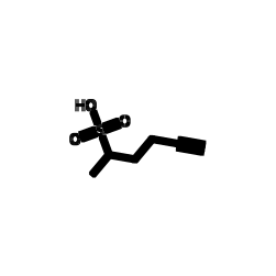 C#CCCC(C)S(=O)(=O)O